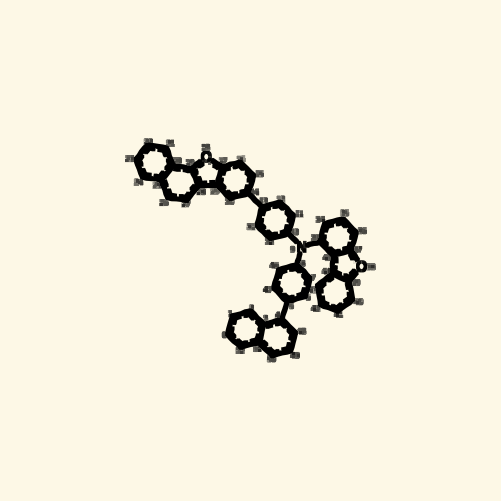 c1ccc2c(-c3ccc(N(c4ccc(-c5ccc6oc7c8ccccc8ccc7c6c5)cc4)c4cccc5oc6ccccc6c45)cc3)cccc2c1